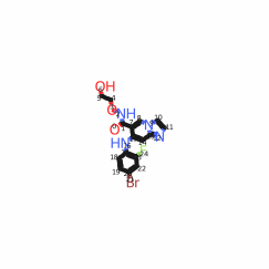 O=C(NOCCO)c1cn2ccnc2cc1Nc1ccc(Br)cc1F